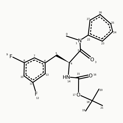 CN(C(=O)[C@H](Cc1cc(F)cc(F)c1)NC(=O)OC(C)(C)C)c1ccccc1